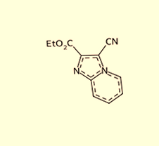 CCOC(=O)c1nc2ccccn2c1C#N